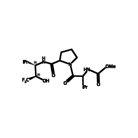 COC(=O)NC(C(=O)N1CCCC1C(=O)N[C@@H](C(C)C)[C@@H](O)C(F)(F)F)C(C)C